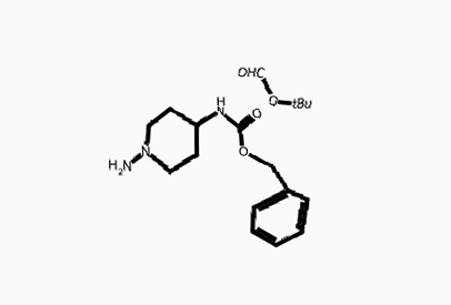 CC(C)(C)OC=O.NN1CCC(NC(=O)OCc2ccccc2)CC1